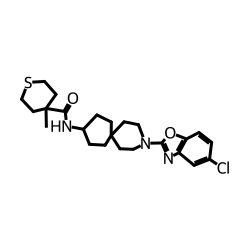 CC1(C(=O)NC2CCC3(CC2)CCN(c2nc4cc(Cl)ccc4o2)CC3)CCSCC1